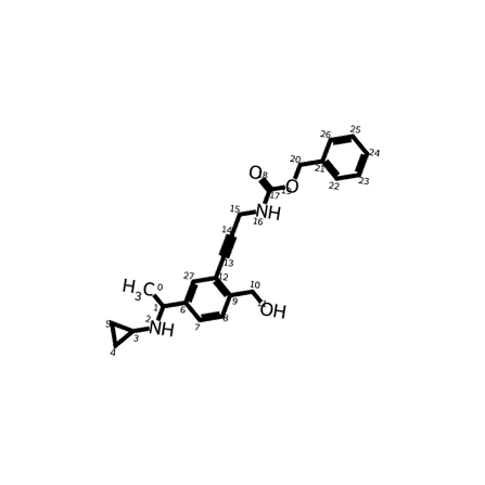 CC(NC1CC1)c1ccc(CO)c(C#CCNC(=O)OCc2ccccc2)c1